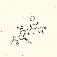 COc1cc(C(=O)NC2CC2)cc2c1NN(CC(O)c1cc(C(C)CO)c(F)c(-c3ccc(F)cc3)n1)C(C)=C2